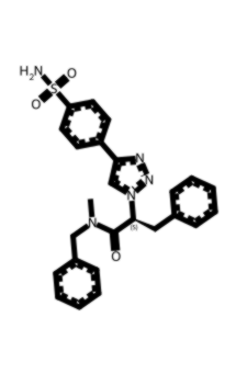 CN(Cc1ccccc1)C(=O)[C@H](Cc1ccccc1)n1cc(-c2ccc(S(N)(=O)=O)cc2)nn1